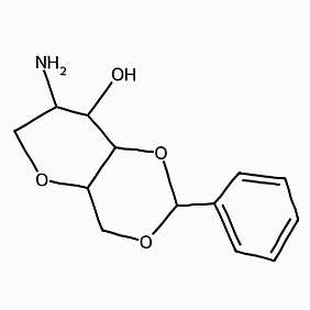 NC1COC2COC(c3ccccc3)OC2C1O